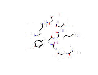 CC[C@H](C)[C@H](NC(=O)[C@@H](N)C(C)C)C(=O)NCC(=O)N[C@@H](Cc1ccc(O)cc1)C(=O)N[C@@H](CCCCN)C(=O)N[C@H](C(=O)N[C@H](C(=O)N[C@@H](CCCCN)C(=O)O)[C@@H](C)O)[C@@H](C)O